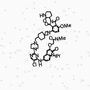 CNC(=O)COc1cc2cc(Nc3nc(N4CCN(CC5CCC6(CC5)CN(c5ccc(OC)c7c5C(=O)N(C5CCCNC5=O)C7=O)C6)CC4)ncc3Cl)ccc2n(C(C)C)c1=O